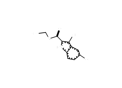 CCNC(=O)c1[nH]c2ccc(O)cc2c1C